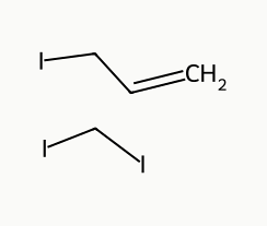 C=CCI.ICI